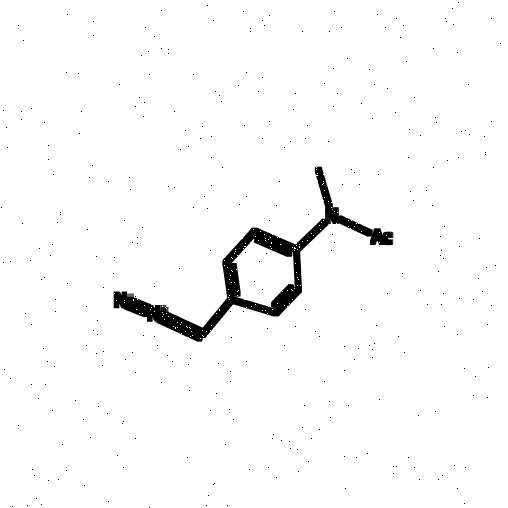 CC(=O)N(C)c1ccc(C=[N+]=[N-])cc1